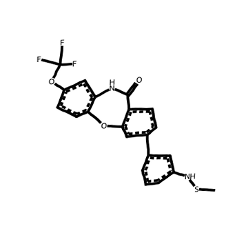 CSNc1cccc(-c2ccc3c(c2)Oc2ccc(OC(F)(F)F)cc2NC3=O)c1